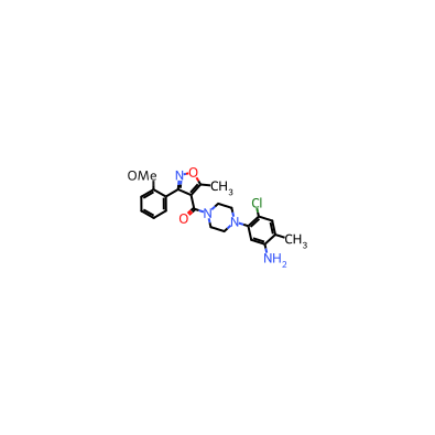 COc1ccccc1-c1noc(C)c1C(=O)N1CCN(c2cc(N)c(C)cc2Cl)CC1